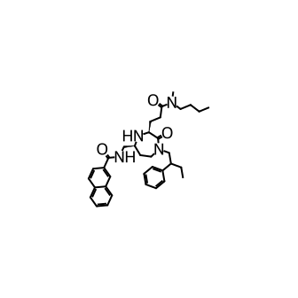 CCCCN(C)C(=O)CC[C@@H]1N[C@H](CNC(=O)c2ccc3ccccc3c2)CCN(CC(CC)c2ccccc2)C1=O